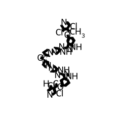 CC(Oc1ccc2[nH]nc(-c3nc4c([nH]3)CN(N3CC[C@@H](C(=O)[C@@H]5CCN(N6Cc7nc(-c8n[nH]c9ccc(OC(C)c%10c(Cl)cncc%10Cl)cc89)[nH]c7C6)C5)C3)C4)c2c1)c1c(Cl)cncc1Cl